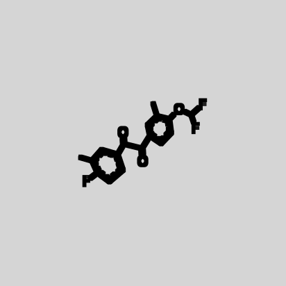 Cc1cc(C(=O)C(=O)c2ccc(OC(F)F)c(C)c2)ccc1F